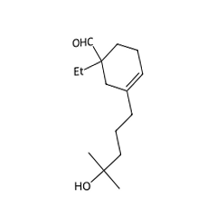 CCC1(C=O)CCC=C(CCCC(C)(C)O)C1